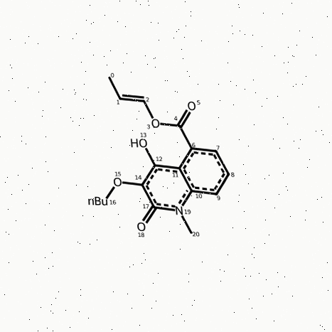 CC=COC(=O)c1cccc2c1c(O)c(OCCCC)c(=O)n2C